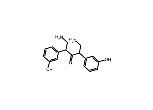 NCC(C(=O)C(CN)c1cccc(O)c1)c1cccc(O)c1